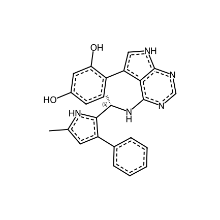 Cc1cc(-c2ccccc2)c([C@H](C)Nc2ncnc3[nH]cc(-c4ccc(O)cc4O)c23)[nH]1